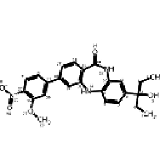 CCC(O)(CC)c1ccc2c(c1)NC(=O)c1ccc(-c3ccc([N+](=O)[O-])c(OC)c3)cc1N2